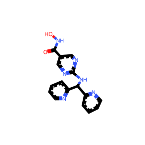 O=C(NO)c1cnc(NC(c2ccccn2)c2ccccn2)nc1